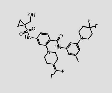 Cc1cc(NC(=O)c2ccc(NS(=O)(=O)C3(CO)CC3)cc2N2CCC(=C(F)F)CC2)cc(N2CCC(F)(F)CC2)c1